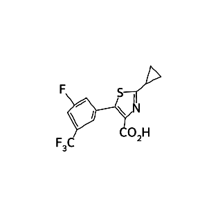 O=C(O)c1nc(C2CC2)sc1-c1cc(F)cc(C(F)(F)F)c1